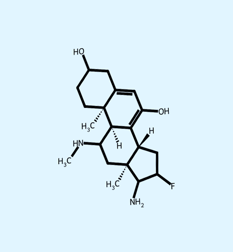 CNC1C[C@]2(C)C(N)C(F)C[C@H]2C2=C(O)C=C3CC(O)CC[C@]3(C)[C@@H]21